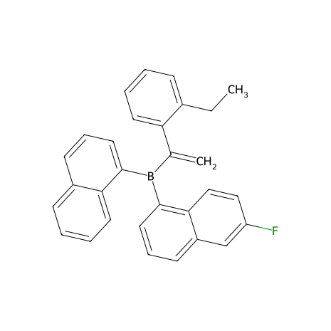 C=C(B(c1cccc2ccccc12)c1cccc2cc(F)ccc12)c1ccccc1CC